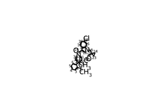 CCc1ccccc1C1(C)CCN(C(=O)c2cn(CC3(COC)CC3)c3cc(Cl)ccc23)CC1